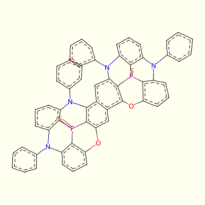 S=P12c3c4cccc3N(c3ccccc3)c3cccc(c31)N(c1ccccc1)c1cc3c5c6c(cc3c(c12)O4)Oc1cccc2c1P6(=S)c1c(cccc1N5c1ccccc1)N2c1ccccc1